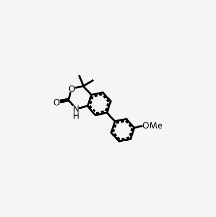 COc1cccc(-c2ccc3c(c2)NC(=O)OC3(C)C)c1